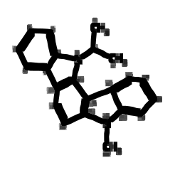 CC(C)n1c2ccccc2c2ccc3c(c4ccccc4n3C)c21